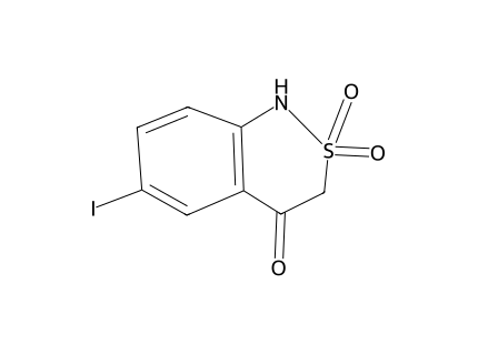 O=C1CS(=O)(=O)Nc2ccc(I)cc21